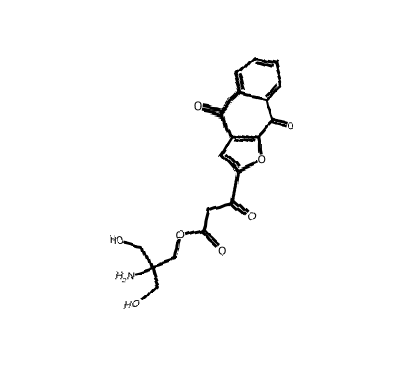 NC(CO)(CO)COC(=O)CC(=O)c1cc2c(o1)C(=O)c1ccccc1C2=O